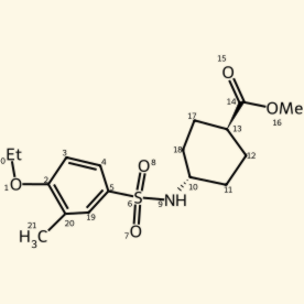 CCOc1ccc(S(=O)(=O)N[C@H]2CC[C@H](C(=O)OC)CC2)cc1C